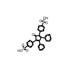 O=C1C(c2ccc(S(=O)(=O)O)cc2)=C(c2ccccc2)C(c2ccccc2)=C1c1ccc(S(=O)(=O)O)cc1